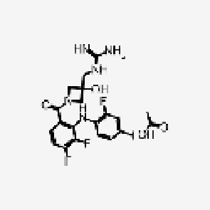 CC(=O)O.N=C(N)NCC1(O)CN(C(=O)c2ccc(F)c(F)c2Nc2ccc(I)cc2F)C1